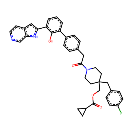 O=C(OCC1(Cc2ccc(F)cc2)CCN(C(=O)Cc2ccc(-c3cccc(-c4cc5ccncc5[nH]4)c3O)cc2)CC1)C1CC1